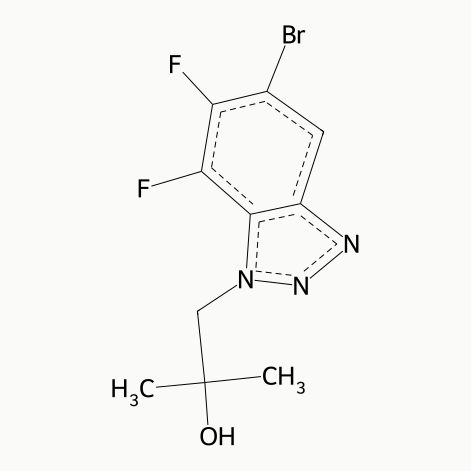 CC(C)(O)Cn1nnc2cc(Br)c(F)c(F)c21